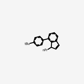 CCCC1C=Cc2cccc(-c3ccc(C(C)(C)C)cc3)c21